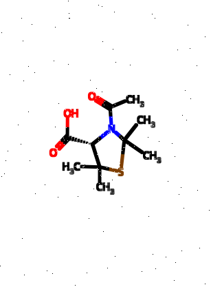 CC(=O)N1[C@@H](C(=O)O)C(C)(C)SC1(C)C